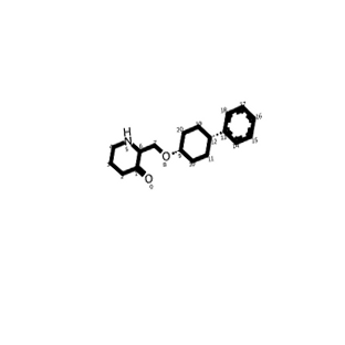 O=C1CCCNC1CO[C@H]1CC[C@@H](c2ccccc2)CC1